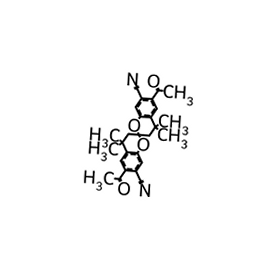 CC(=O)c1cc2c(cc1C#N)OC1(CC2(C)C)CC(C)(C)c2cc(C(C)=O)c(C#N)cc2O1